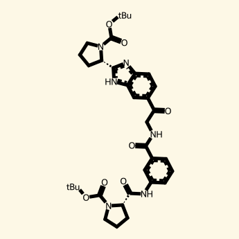 CC(C)(C)OC(=O)N1CCC[C@H]1C(=O)Nc1cccc(C(=O)NCC(=O)c2ccc3nc([C@@H]4CCCN4C(=O)OC(C)(C)C)[nH]c3c2)c1